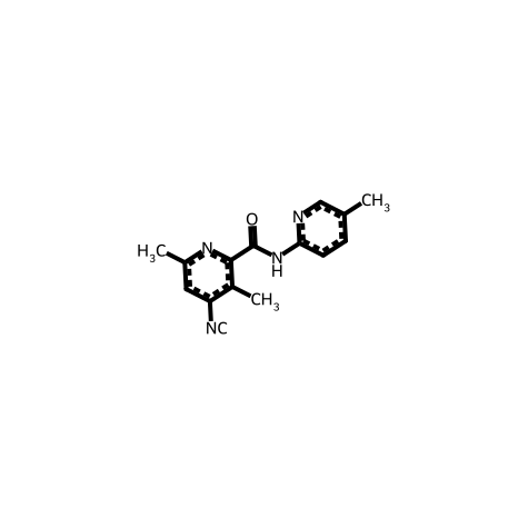 [C-]#[N+]c1cc(C)nc(C(=O)Nc2ccc(C)cn2)c1C